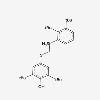 CC(C)(C)c1cc(SC[SiH2]c2cccc(C(C)(C)C)c2C(C)(C)C)cc(C(C)(C)C)c1O